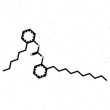 CCCCCCCCCCc1ccccc1OC(=O)Oc1ccccc1CCCCCC